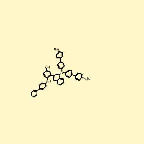 CC(C)(C)c1ccc(-c2ccc(N(c3ccc(-c4ccc(C(C)(C)C)cc4)cc3)c3cc(-c4cc(O)ccc4Nc4ccc(-c5ccccc5)cc4)cc4ccccc34)cc2)cc1